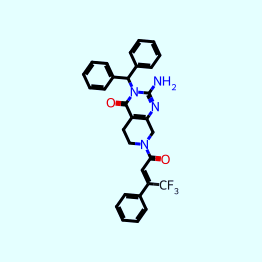 Nc1nc2c(c(=O)n1C(c1ccccc1)c1ccccc1)CCN(C(=O)/C=C(/c1ccccc1)C(F)(F)F)C2